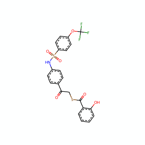 O=C(CSC(=O)c1ccccc1O)c1ccc(NS(=O)(=O)c2ccc(OC(F)(F)F)cc2)cc1